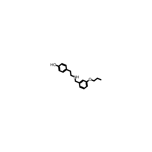 CCCOc1cccc(CNCCc2ccc(O)cc2)c1